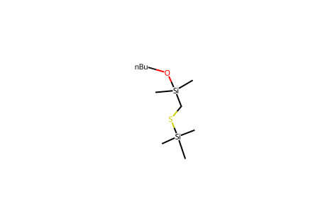 CCCCO[Si](C)(C)CS[Si](C)(C)C